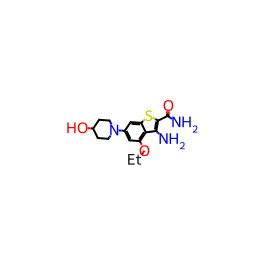 CCOc1cc(N2CCC(O)CC2)cc2sc(C(N)=O)c(N)c12